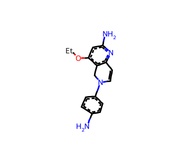 CCOc1cc(N)nc2c1CN(c1ccc(N)cc1)C=C2